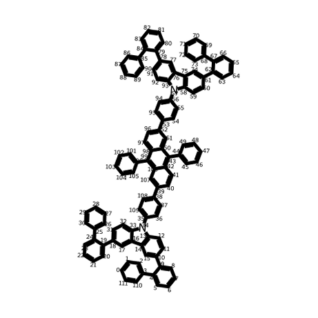 c1ccc(-c2ccccc2-c2ccc3c(c2)c2cc(-c4ccccc4-c4ccccc4)ccc2n3-c2ccc(-c3ccc4c(-c5ccccc5)c5cc(-c6ccc(-n7c8ccc(-c9ccccc9-c9ccccc9)cc8c8cc(-c9ccccc9-c9ccccc9)ccc87)cc6)ccc5c(-c5ccccc5)c4c3)cc2)cc1